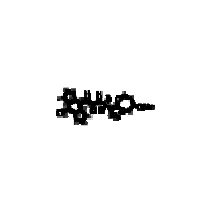 COC1CCOc2c(S(=O)(=O)NC(=O)Nc3c4c(c(Cl)c5c3CCC5)CCC4)cnn2C1